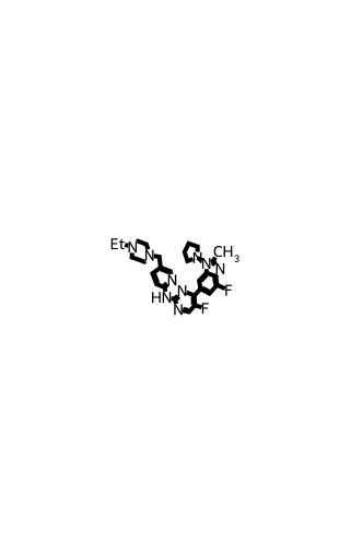 CCN1CCN(Cc2ccc(Nc3ncc(F)c(-c4cc(F)c5nc(C)n(N6CCCC6)c5c4)n3)nc2)CC1